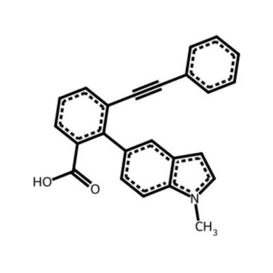 Cn1ccc2cc(-c3c(C#Cc4ccccc4)cccc3C(=O)O)ccc21